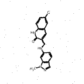 Cn1ncc2ccc(NCc3cc4cc(Cl)ccc4[nH]c3=O)cc21